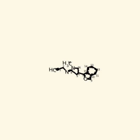 C#CCN=C1CC(c2occ3ccccc23)CN1C